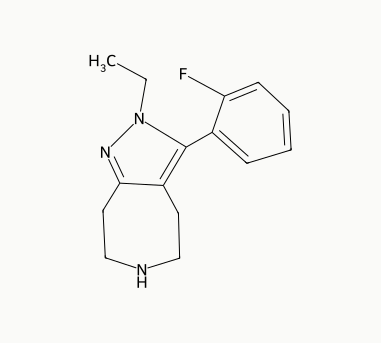 CCn1nc2c(c1-c1ccccc1F)CCNCC2